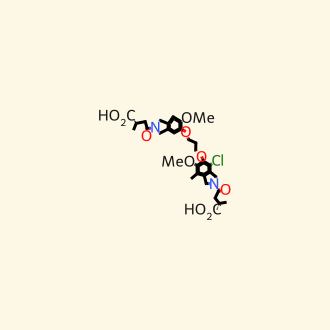 COc1cc2c(cc1OCCCOc1c(Cl)c3c(c(C)c1OC)CN(C(=O)C[C@H](C)C(=O)O)C3)CN(C(=O)C[C@H](C)C(=O)O)C2